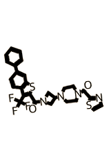 O=C(c1nccs1)N1CCN(C2CN(C(=O)c3sc4cc(-c5ccccc5)ccc4c3C(F)(F)F)C2)CC1